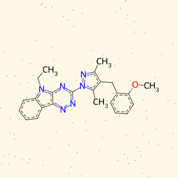 CCn1c2ccccc2c2nnc(-n3nc(C)c(Cc4ccccc4OC)c3C)nc21